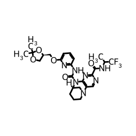 CC(NC(=O)c1ncc2c(n1)N(C(=O)Nc1cccc(OC[C@H]3COC(C)(C)O3)n1)[C@H]1CCCN2C1)C(F)(F)F